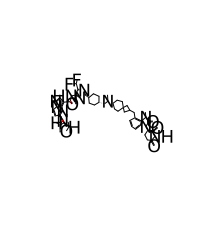 CN(C[C@H]1CC[C@H](C2N=C(NC(=O)c3cnn4ccc(N5C[C@H]6C[C@@H]5CO6)nc34)C(C(F)F)=N2)CC1)C1CCC2(CC1)CC(Cc1cccc3c1n(C)c(=O)n3C1CCC(=O)NC1=O)C2